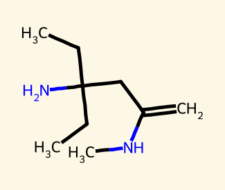 C=C(CC(N)(CC)CC)NC